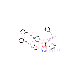 [N-]=[N+]=NC[C@@H]1C=C[C@@H](NC(=O)OCc2ccccc2)[C@@H](O[C@H]2[C@H](O[C@@H]3O[C@H](CO)[C@@H](O[C@H]4O[C@@H](CNC(=O)OCc5ccccc5)[C@@H](O)[C@H](O)[C@H]4N)[C@H]3O)[C@@H](O)CC[C@@H]2NC(=O)OCc2ccccc2)O1